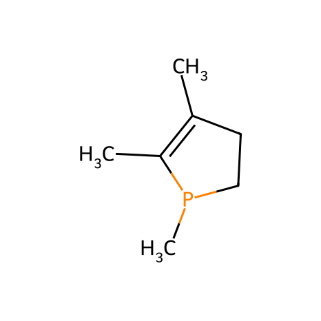 CC1=C(C)P(C)CC1